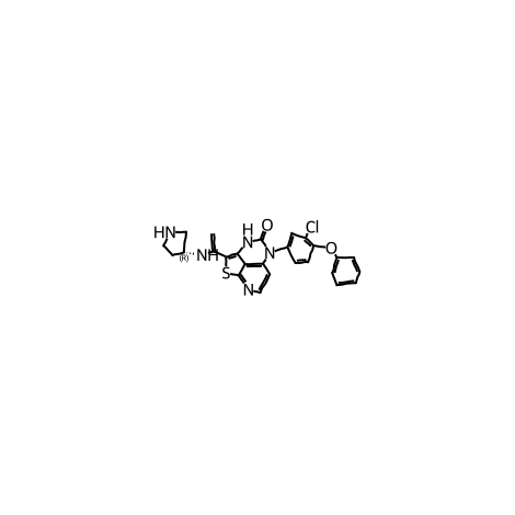 C=C(N[C@@H]1CCNC1)c1sc2nccc3c2c1NC(=O)N3c1ccc(Oc2ccccc2)c(Cl)c1